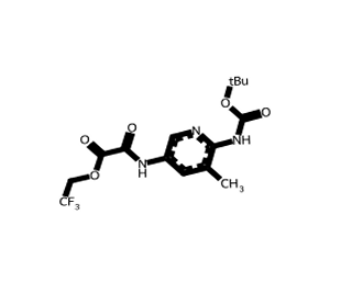 Cc1cc(NC(=O)C(=O)OCC(F)(F)F)cnc1NC(=O)OC(C)(C)C